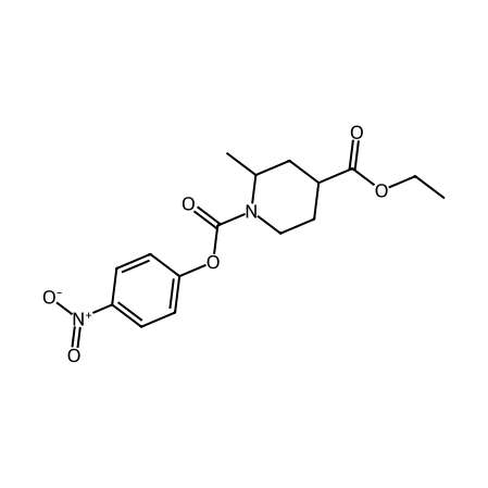 CCOC(=O)C1CCN(C(=O)Oc2ccc([N+](=O)[O-])cc2)C(C)C1